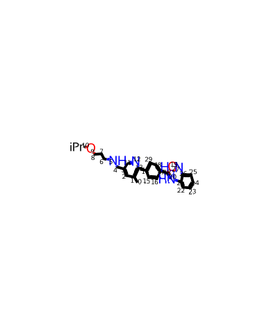 Cc1cc(CNCCCOC(C)C)cnc1-c1ccc(C(=O)Nc2ccccc2N)cc1